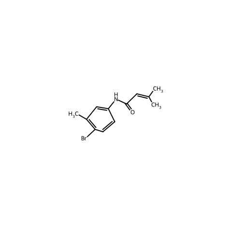 CC(C)=CC(=O)Nc1ccc(Br)c(C)c1